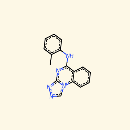 Cc1ccccc1Nc1nc2nncn2c2ccccc12